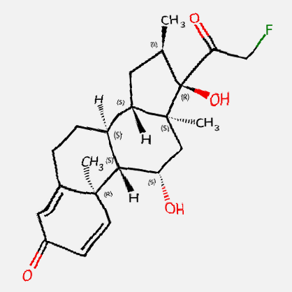 C[C@@H]1C[C@H]2[C@@H]3CCC4=CC(=O)C=C[C@]4(C)[C@H]3[C@@H](O)C[C@]2(C)[C@@]1(O)C(=O)CF